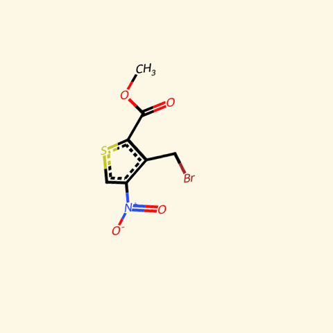 COC(=O)c1scc([N+](=O)[O-])c1CBr